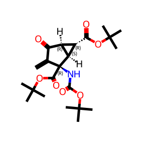 C=C1C(=O)[C@H]2[C@H](C(=O)OC(C)(C)C)[C@H]2[C@]1(NC(=O)OC(C)(C)C)C(=O)OC(C)(C)C